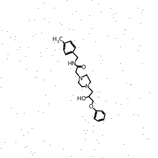 Cc1ccc(CNC(=O)CN2CCN(CC(O)COc3ccccc3)CC2)cc1